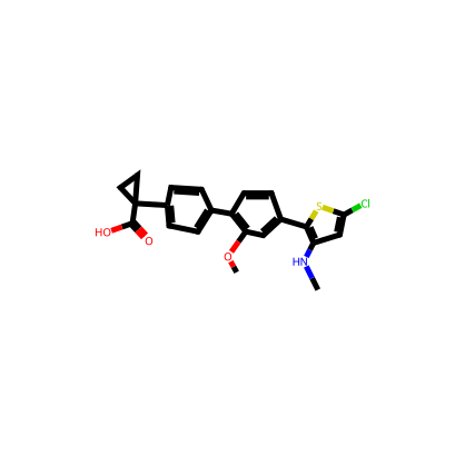 CNc1cc(Cl)sc1-c1ccc(-c2ccc(C3(C(=O)O)CC3)cc2)c(OC)c1